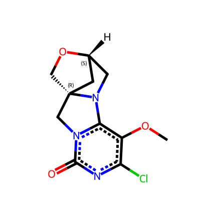 COc1c(Cl)nc(=O)n2c1N1C[C@@H]3C[C@]1(CO3)C2